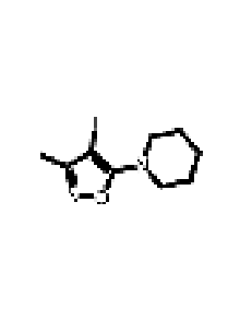 Cc1noc(N2CCCCC2)c1I